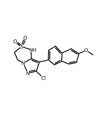 COc1ccc2cc(-c3c(Cl)nn4c3NS(=O)(=O)CC4)ccc2c1